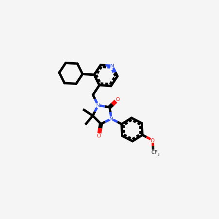 CC1(C)C(=O)N(c2ccc(OC(F)(F)F)cc2)C(=O)N1Cc1ccncc1C1CCCCC1